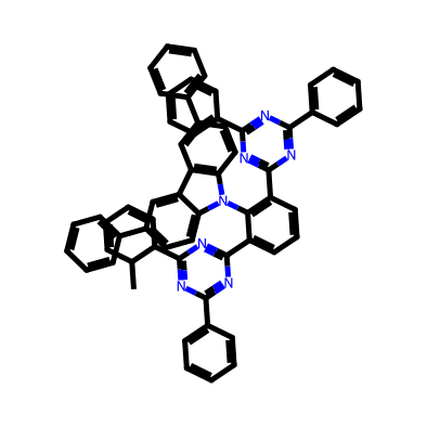 CC1C=CC=CC1c1nc(-c2ccccc2)nc(-c2cccc(-c3nc(-c4ccccc4)nc(-c4ccccc4)n3)c2-n2c3ccc(-c4ccccc4)cc3c3cc(-c4ccccc4)ccc32)n1